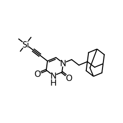 C[Si](C)(C)C#Cc1cn(CCC23CC4CC(CC(C4)C2)C3)c(=O)[nH]c1=O